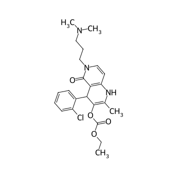 CCOC(=O)OC1=C(C)Nc2ccn(CCCN(C)C)c(=O)c2C1c1ccccc1Cl